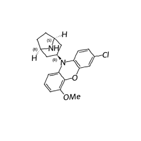 COc1cccc2c1Oc1cc(Cl)ccc1N2[C@H]1C[C@H]2CC[C@@H](C1)N2